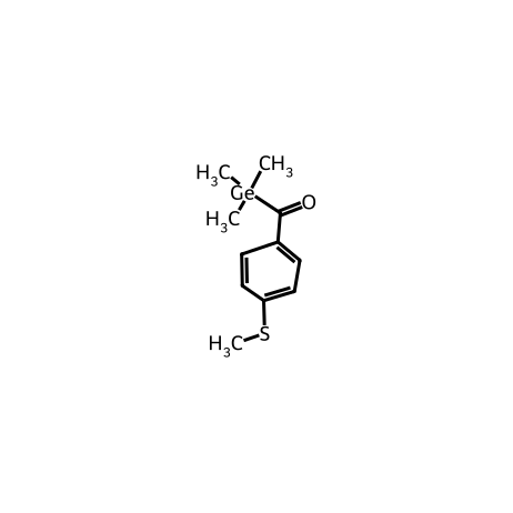 CSc1ccc([C](=O)[Ge]([CH3])([CH3])[CH3])cc1